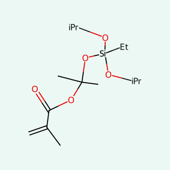 C=C(C)C(=O)OC(C)(C)O[Si](CC)(OC(C)C)OC(C)C